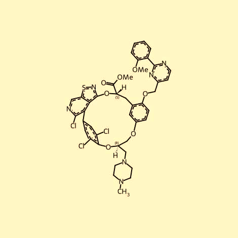 COC(=O)[C@@H]1Cc2cc(ccc2OCc2ccnc(-c3ccccc3OC)n2)OC[C@@H](CN2CCN(C)CC2)Oc2c(Cl)cc(cc2Cl)-c2c(Cl)ncc3snc(c23)O1